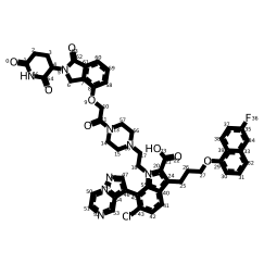 O=C1CCC(N2Cc3c(OCC(=O)N4CCN(CCn5c(C(=O)O)c(CCCOc6cccc7cc(F)ccc67)c6ccc(Cl)c(-c7cnn8ccncc78)c65)CC4)cccc3C2=O)C(=O)N1